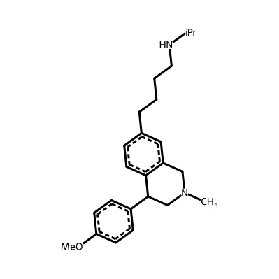 COc1ccc(C2CN(C)Cc3cc(CCCCNC(C)C)ccc32)cc1